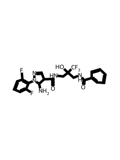 NC1C(C(=O)NCC(O)(CNC(=O)c2ccccc2)C(F)(F)F)C=NN1c1c(F)cccc1F